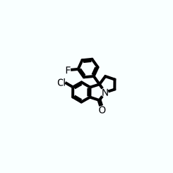 O=C1c2ccc(Cl)cc2C2(c3cccc(F)c3)CCCN12